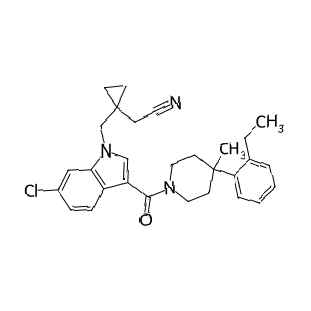 CCc1ccccc1C1(C)CCN(C(=O)c2cn(CC3(CC#N)CC3)c3cc(Cl)ccc23)CC1